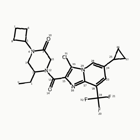 CCC1CN(C2CCC2)C(=O)CN1C(=O)c1nc2c(C(F)(F)F)cc(C3CC3)cn2c1Cl